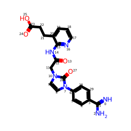 N=C(N)c1ccc(-n2ccn(CC(=O)Nc3ncccc3CCC(=O)O)c2=O)cc1